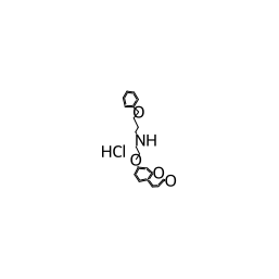 Cl.O=c1ccc2ccc(OCCNCCCOc3ccccc3)cc2o1